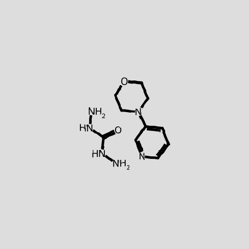 NNC(=O)NN.c1cncc(N2CCOCC2)c1